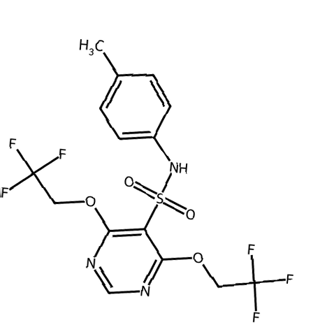 Cc1ccc(NS(=O)(=O)c2c(OCC(F)(F)F)ncnc2OCC(F)(F)F)cc1